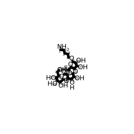 NCCCCCO[C@@H]1OC(CF)[C@@H](O[C@@H]2OC(CO)[C@H](O[C@H]3OC(CO)[C@H](O)C(O)C3O)C(O)C2O)C(O)C1O